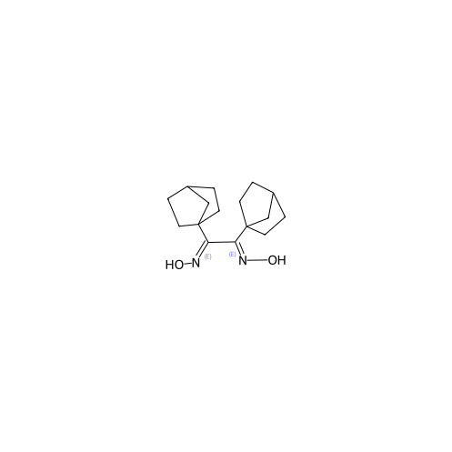 O/N=C(/C(=N/O)C12CCC(CC1)C2)C12CCC(CC1)C2